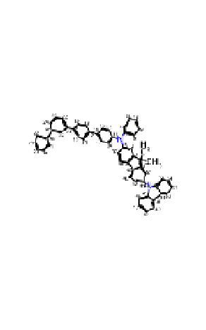 CC1(C)c2cc(N(c3ccccc3)c3ccc(-c4ccc(-c5cccc(-c6ccccc6)c5)cc4)cc3)ccc2-c2ccc(-n3c4ccccc4c4ccccc43)cc21